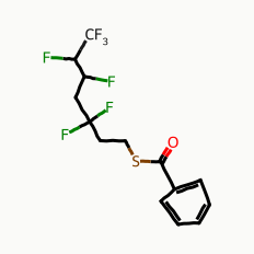 O=C(SCCC(F)(F)CC(F)C(F)C(F)(F)F)c1ccccc1